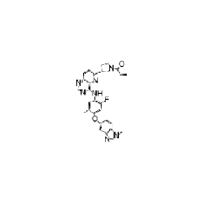 C=CC(=O)N1CCC(c2ccc3ncnc(Nc4cc(C)c(Oc5ccc6c(c5)ncn6C)cc4F)c3n2)C1